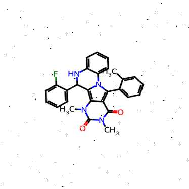 Cc1ccccc1-c1c2c(=O)n(C)c(=O)n(C)c2c2n1-c1ccccc1NC2c1ccccc1F